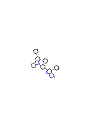 c1ccc(-c2cc(-c3ccccc3)c3c(c2)c2ccccc2n3-c2ccc(-c3cc(-c4ccccc4)c4cnccc4n3)cc2)cc1